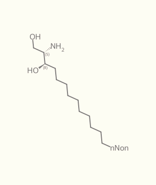 CCCCCCCCCCCCCCCCCCC[C@@H](O)[C@@H](N)CO